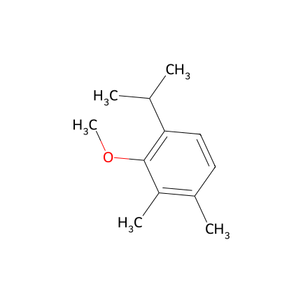 COc1c(C(C)C)ccc(C)c1C